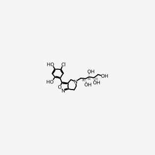 OC[C@H](O)[C@@H](O)[C@H](O)CN1CCc2noc(-c3cc(Cl)c(O)cc3O)c2C1